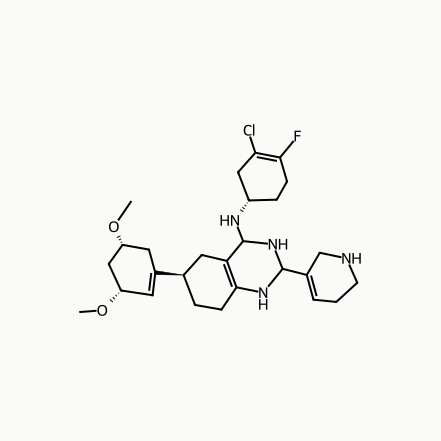 CO[C@@H]1CC([C@@H]2CCC3=C(C2)C(N[C@H]2CCC(F)=C(Cl)C2)NC(C2=CCCNC2)N3)=C[C@H](OC)C1